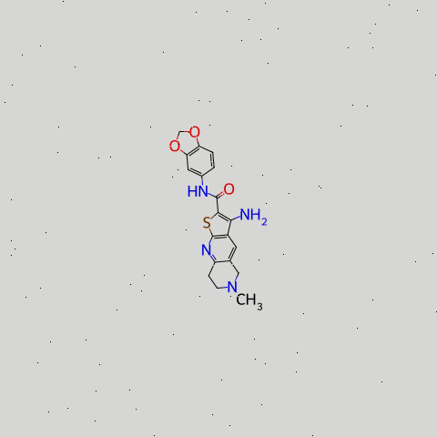 CN1CCc2nc3sc(C(=O)Nc4ccc5c(c4)OCO5)c(N)c3cc2C1